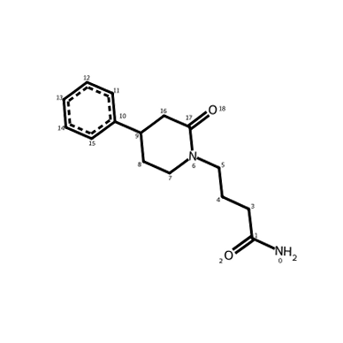 NC(=O)CCCN1CCC(c2ccccc2)CC1=O